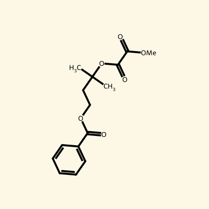 COC(=O)C(=O)OC(C)(C)CCOC(=O)c1ccccc1